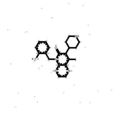 Cc1c(C2CCNCC2)c(=O)n(Cc2ccccc2C(F)(F)F)c2nccnc12